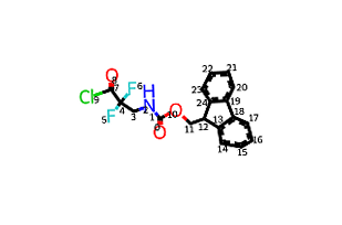 O=C(NCC(F)(F)C(=O)Cl)OCC1c2ccccc2-c2ccccc21